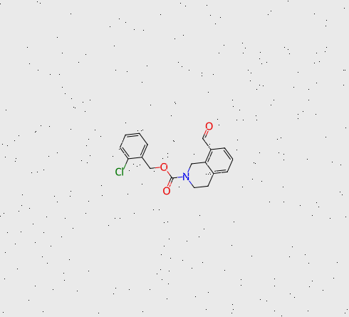 O=Cc1cccc2c1CN(C(=O)OCc1ccccc1Cl)CC2